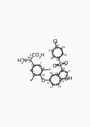 Cc1cc([C@@H](N)C(=O)O)cc(C)c1Oc1ccc2[nH]cc(S(=O)(=O)c3ccc(Cl)cc3)c2c1